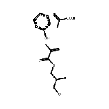 C=C(C)C(=O)O.C=C(C)C(=O)OCC(O)CO.Oc1ccccc1